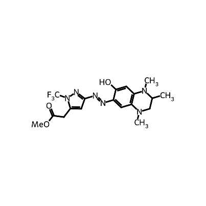 COC(=O)Cc1cc(N=Nc2cc3c(cc2O)N(C)C(C)CN3C)nn1C(F)(F)F